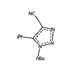 CCCCn1nnc(C#N)c1C(C)C